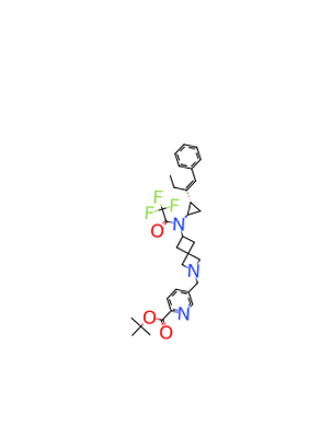 CC/C(=C\c1ccccc1)[C@@H]1C[C@H]1N(C(=O)C(F)(F)F)C1CC2(C1)CN(Cc1ccc(C(=O)OC(C)(C)C)nc1)C2